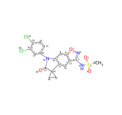 CS(=O)(=O)Nc1noc2cc3c(cc12)C1(CC1)C(=O)N3c1ccc(Cl)c(Cl)c1